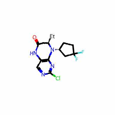 CC[C@@H]1C(=O)Nc2cnc(Cl)nc2N1[C@@H]1CCC(F)(F)C1